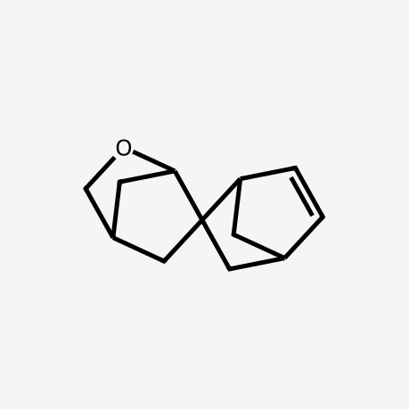 C1=CC2CC1CC21CC2COC1C2